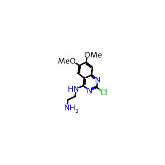 COc1cc2nc(Cl)nc(NCCN)c2cc1OC